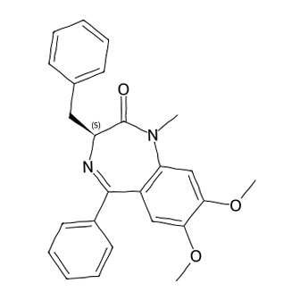 COc1cc2c(cc1OC)N(C)C(=O)[C@H](Cc1ccccc1)N=C2c1ccccc1